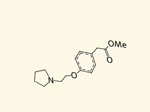 COC(=O)Cc1ccc(OCCN2CCCC2)cc1